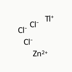 [Cl-].[Cl-].[Cl-].[Tl+].[Zn+2]